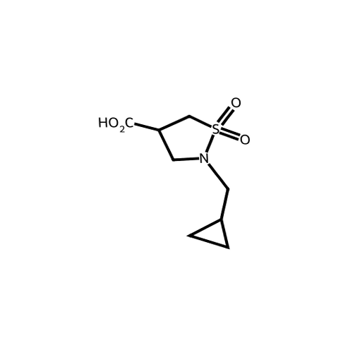 O=C(O)C1CN(CC2CC2)S(=O)(=O)C1